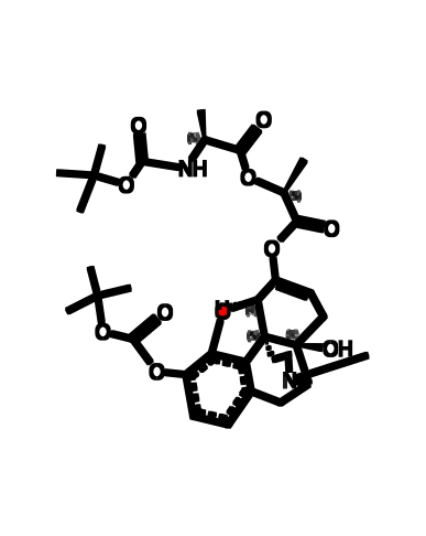 C[C@H](NC(=O)OC(C)(C)C)C(=O)O[C@@H](C)C(=O)OC1=CC[C@]2(O)C3Cc4ccc(OC(=O)OC(C)(C)C)c5c4[C@@]2(CCN3C)[C@H]1O5